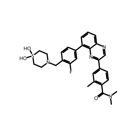 Cc1cc(-c2cnc3cccc(-c4ccc(CN5CCS(O)(O)CC5)c(F)c4)c3n2)ccc1C(=O)N(C)C